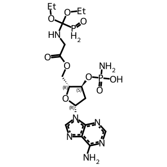 CCOC(NCC(=O)OC[C@H]1O[C@@H](n2cnc3c(N)ncnc32)C[C@@H]1OP(N)(=O)O)(OCC)[PH2]=O